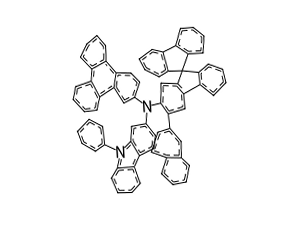 c1ccc(-n2c3ccccc3c3ccc(N(c4ccc5c6ccccc6c6ccccc6c5c4)c4cc5c(cc4-c4ccc6ccccc6c4)-c4ccccc4C54c5ccccc5-c5ccccc54)cc32)cc1